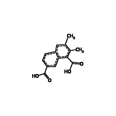 Cc1cc2ccc(C(=O)O)cc2c(C(=O)O)c1C